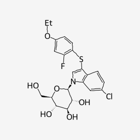 CCOc1ccc(Sc2cn([C@@H]3O[C@H](CO)[C@@H](O)[C@H](O)[C@H]3O)c3cc(Cl)ccc23)c(F)c1